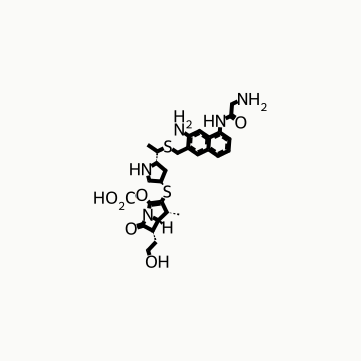 CC(SCc1cc2cccc(NC(=O)CN)c2cc1N)[C@@H]1C[C@H](SC2=C(OC(=O)O)N3C(=O)[C@@H](CCO)[C@H]3[C@H]2C)CN1